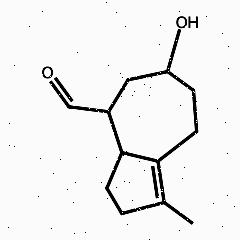 CC1=C2CCC(O)CC(C=O)C2CC1